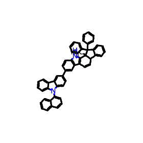 CC12c3[nH]c4ccc(-c5ccc6c(c5)c5ccccc5n6-c5cccc6ccccc56)cc4c3C=CC1c1ccccc1C2(c1ccccc1)c1ccccc1